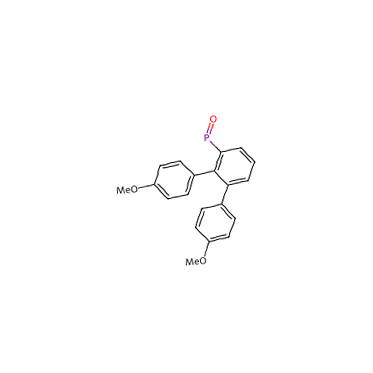 COc1ccc(-c2cccc(P=O)c2-c2ccc(OC)cc2)cc1